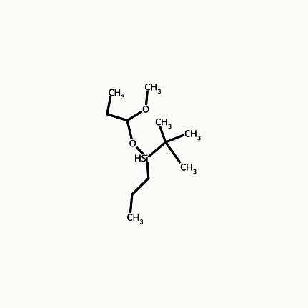 CCC[SiH](OC(CC)OC)C(C)(C)C